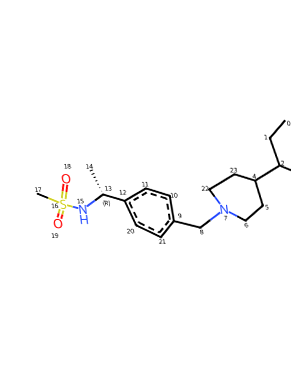 CCC(C)C1CCN(Cc2ccc([C@@H](C)NS(C)(=O)=O)cc2)CC1